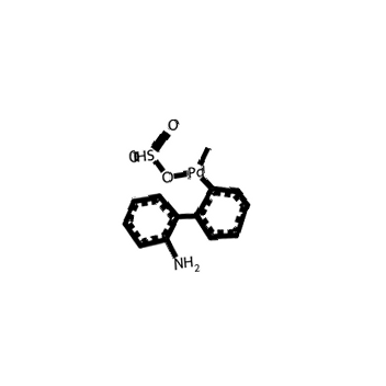 [CH3][Pd]([O][SH](=O)=O)[c]1ccccc1-c1ccccc1N